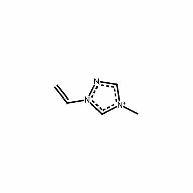 C=Cn1c[n+](C)cn1